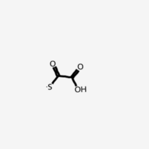 O=C(O)C(=O)[S]